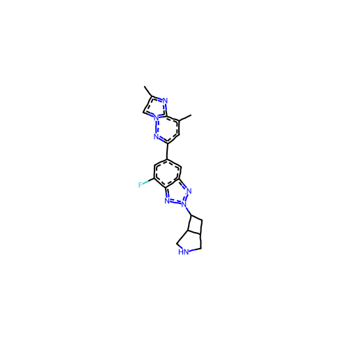 Cc1cn2nc(-c3cc(F)c4nn(C5CC6CNCC65)nc4c3)cc(C)c2n1